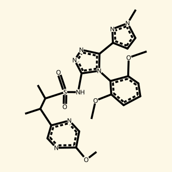 COc1cnc(C(C)C(C)S(=O)(=O)Nc2nnc(-c3ccn(C)n3)n2-c2c(OC)cccc2OC)cn1